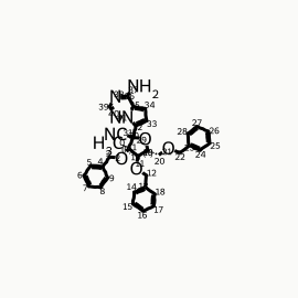 C[C@@]1(OCc2ccccc2)C(OCc2ccccc2)[C@@H](COCc2ccccc2)OC1(C#N)c1ccc2c(N)ncnn12